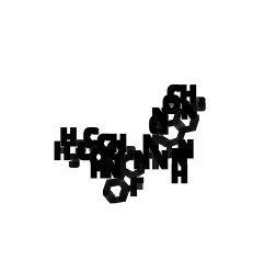 COc1nccc(-c2n[nH]c3nc(N4CCC(NC(=O)OC(C)(C)C)(c5ccccc5F)CC4)nc(C#N)c23)c1Cl